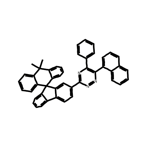 CC1(C)c2ccccc2C2(c3ccccc3-c3ccc(-c4nnc(-c5cccc6ccccc56)c(-c5ccccc5)n4)cc32)c2ccccc21